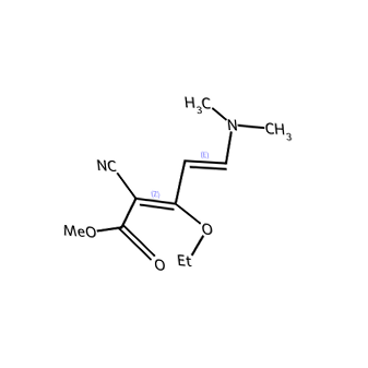 CCOC(/C=C/N(C)C)=C(/C#N)C(=O)OC